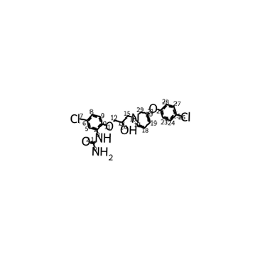 NC(=O)Nc1cc(Cl)ccc1OCC(O)CN1C=CC=C(Oc2ccc(Cl)cc2)C1